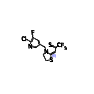 Fc1cc(CN2CCS/C2=C/C(=S)C(F)(F)F)cnc1Cl